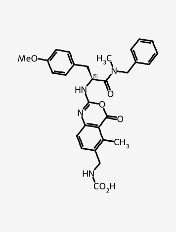 COc1ccc(C[C@H](Nc2nc3ccc(CNC(=O)O)c(C)c3c(=O)o2)C(=O)N(C)Cc2ccccc2)cc1